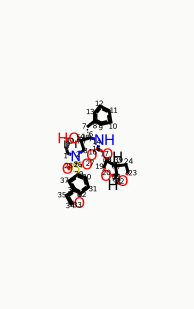 CC(C)CN(C[C@@H](O)[C@H](Cc1ccccc1)NC(=O)O[C@H]1CO[C@H]2OCC[C@H]21)S(=O)(=O)c1ccc2occc2c1